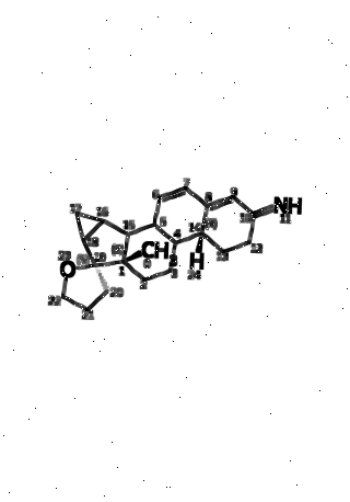 C[C@]12CCC3C(C=CC4=CC(=N)CC[C@@H]43)C1C1CC1[C@@]21CCCO1